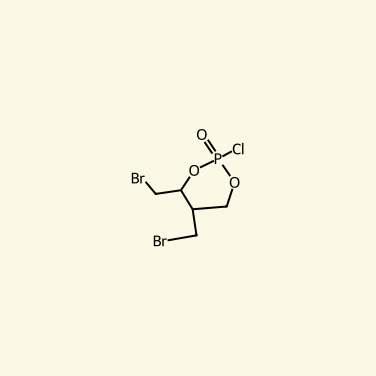 O=P1(Cl)OCC(CBr)C(CBr)O1